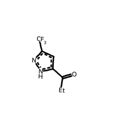 CCC(=O)c1cc(C(F)(F)F)n[nH]1